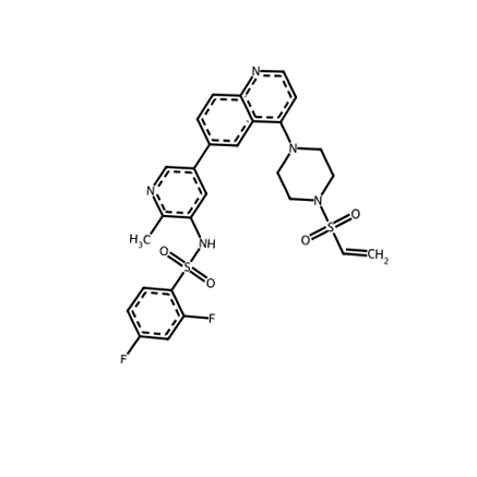 C=CS(=O)(=O)N1CCN(c2ccnc3ccc(-c4cnc(C)c(NS(=O)(=O)c5ccc(F)cc5F)c4)cc23)CC1